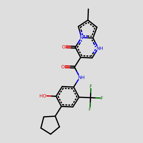 Cc1cc2[nH]cc(C(=O)Nc3cc(O)c(C4CCCC4)cc3C(F)(F)F)c(=O)n2c1